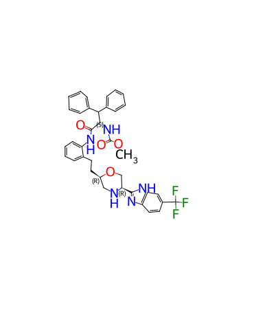 COC(=O)N[C@H](C(=O)Nc1ccccc1CC[C@@H]1CN[C@H](c2nc3ccc(C(F)(F)F)cc3[nH]2)CO1)C(c1ccccc1)c1ccccc1